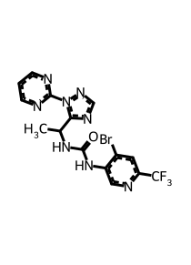 CC(NC(=O)Nc1cnc(C(F)(F)F)cc1Br)c1ncnn1-c1ncccn1